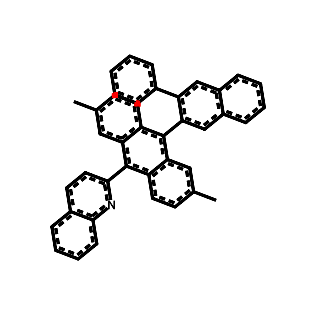 Cc1ccc2c(-c3cc4ccccc4cc3-c3ccccc3)c3cc(C)ccc3c(-c3ccc4ccccc4n3)c2c1